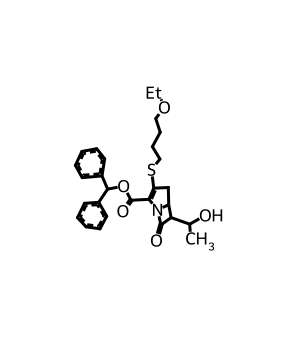 CCOCCCCSC1=C(C(=O)OC(c2ccccc2)c2ccccc2)N2C(=O)C(C(C)O)C2C1